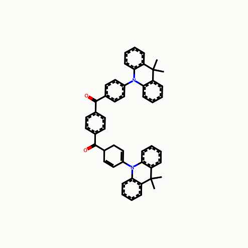 CC1(C)c2ccccc2N(C2=CCC(C(=O)c3ccc(C(=O)c4ccc(N5c6ccccc6C(C)(C)c6ccccc65)cc4)cc3)C=C2)c2ccccc21